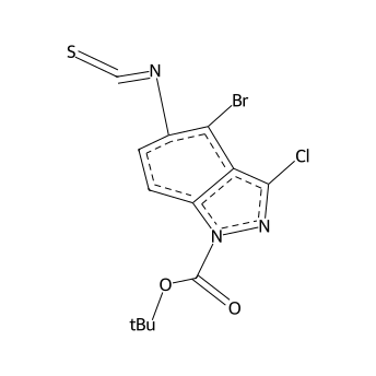 CC(C)(C)OC(=O)n1nc(Cl)c2c(Br)c(N=C=S)ccc21